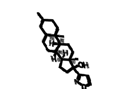 CC1CC[C@@]2(C)C(CC[C@@H]3[C@H]2CC[C@@]2(C)[C@H]3CCC2(O)c2ccon2)C1